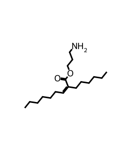 CCCCCCC=C(CCCCCC)C(=O)OCCCN